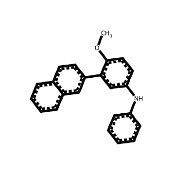 COc1ccc(Nc2ccccc2)cc1-c1ccc2ccccc2c1